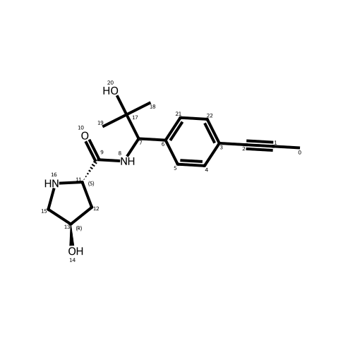 CC#Cc1ccc(C(NC(=O)[C@@H]2C[C@@H](O)CN2)C(C)(C)O)cc1